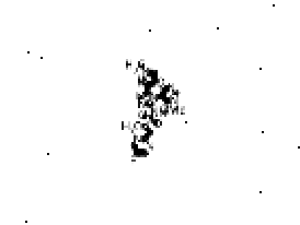 COc1ncnc(OC)c1-n1c(NS(=O)(=O)C(C)Cc2ncc(F)cn2)nnc1-c1ccn(C)n1